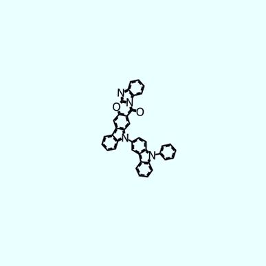 O=c1c2cc3c(cc2oc2nc4ccccc4n12)c1ccccc1n3-c1ccc2c(c1)c1ccccc1n2-c1ccccc1